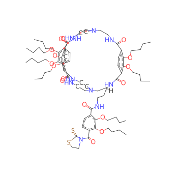 CCCCOc1c2ccc(c1OCCCC)C(=O)NCCN1CCNC(=O)c3ccc(c(OCCCC)c3OCCCC)C(=O)NCCN(CCNC2=O)CCNC(=O)c2ccc(c(OCCCC)c2OCCCC)C(=O)N[C@@H](CCNC(=O)c2ccc(C(=O)N3CCSC3=S)c(OCCCC)c2OCCCC)C1